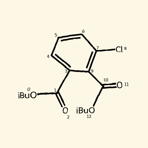 CC(C)COC(=O)c1cccc(Cl)c1C(=O)OCC(C)C